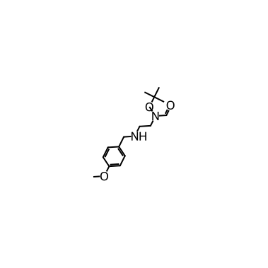 COc1ccc(CNCCN(C=O)OC(C)(C)C)cc1